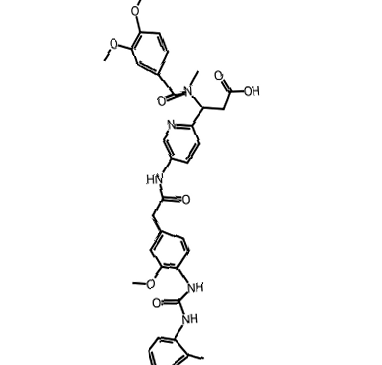 COc1cc(CC(=O)Nc2ccc(C(CC(=O)O)N(C)C(=O)c3ccc(OC)c(OC)c3)nc2)ccc1NC(=O)Nc1ccccc1C